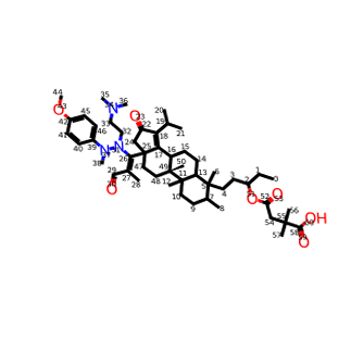 CCC(CCC1(C)C(C)CCC2(C)C1CCC1C3=C(C(C)C)C(=O)CC3(/C(=C(\C)C=O)N(CCN(C)C)N(C)c3ccc(OC)cc3)CC[C@]12C)OC(=O)CC(C)(C)C(=O)O